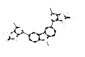 Cc1sc(-c2ccc3c(c2)c2cc(-c4sc(C)c5[nH]c(=O)[nH]c45)ccc2n3C)c2[nH]c(=O)[nH]c12